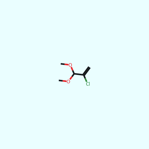 C=C(Cl)C(OC)OC